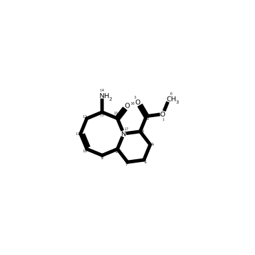 COC(=O)C1CCCC2CC=CCC(N)C(=O)N21